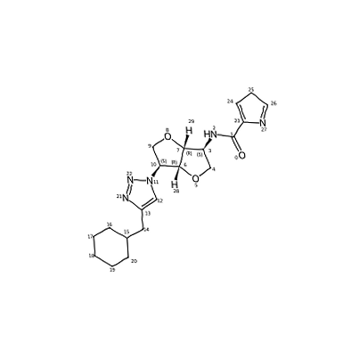 O=C(N[C@H]1CO[C@H]2[C@@H]1OC[C@@H]2n1cc(CC2CCCCC2)nn1)C1=CCC=N1